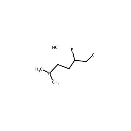 CN(C)CCC(F)CCl.Cl